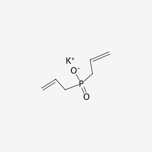 C=CCP(=O)([O-])CC=C.[K+]